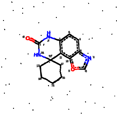 O=C1Nc2ccc3ncoc3c2C2(CCCCC2)N1